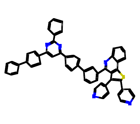 c1ccc(-c2ccc(-c3cc(-c4ccc(-c5cccc(-c6nc7ccccc7c7sc(-c8ccncc8)c(-c8ccncc8)c67)c5)cc4)nc(-c4ccccc4)n3)cc2)cc1